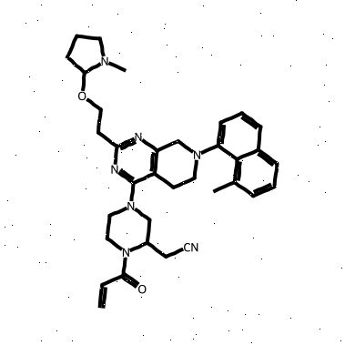 C=CC(=O)N1CCN(c2nc(CCOC3CCCN3C)nc3c2CCN(c2cccc4cccc(C)c24)C3)CC1CC#N